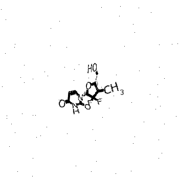 CC1[C@@H](CO)O[C@@H](n2ccc(=O)[nH]c2=O)C1(F)F